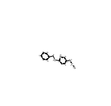 S=C=Nc1ccc(OCc2ccccc2)nc1